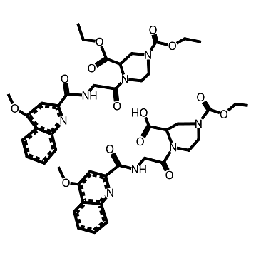 CCOC(=O)C1CN(C(=O)OCC)CCN1C(=O)CNC(=O)c1cc(OC)c2ccccc2n1.CCOC(=O)N1CCN(C(=O)CNC(=O)c2cc(OC)c3ccccc3n2)C(C(=O)O)C1